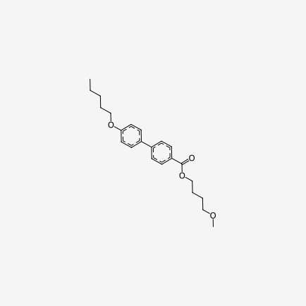 CCCCCOc1ccc(-c2ccc(C(=O)OCCCCOC)cc2)cc1